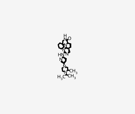 CC(C)N1CCN(c2ccc(Nc3ncc4c(n3)N3C(C=C4)C(=O)NCC34CCCCC4)nc2)CC1C